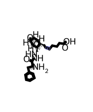 N[C@@H](Cc1ccccc1)C(=O)NNC[C@@H]1[C@H](C/C=C\CCCC(=O)O)[C@H]2O[C@@H]1[C@H]1O[C@H]12